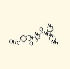 O=Cc1ccc2c(c1)C(=O)N(c1nc(C(=O)Nc3cnccc3N3CCNCC3)cs1)C2